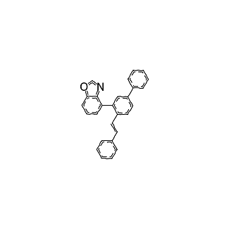 C(=Cc1ccc(-c2ccccc2)cc1-c1cccc2ocnc12)c1ccccc1